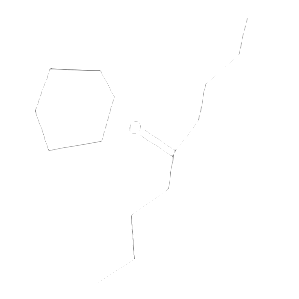 C1CCCCC1.CCCCC(=O)CCCC